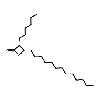 CCCCCCCCCCC[CH]C[C@@H]1OC(=O)[C@H]1CCCCCC